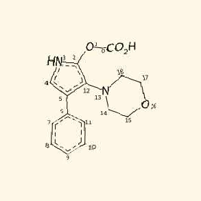 O=C(O)Oc1[nH]cc(-c2ccccc2)c1N1CCOCC1